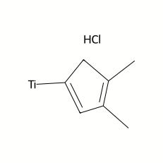 CC1=C(C)C[C]([Ti])=C1.Cl